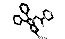 O=C(O)c1cc2c(s1)c(C1CCCCC1)c(-c1ccccc1)n2CC(=O)N1CCOCC1